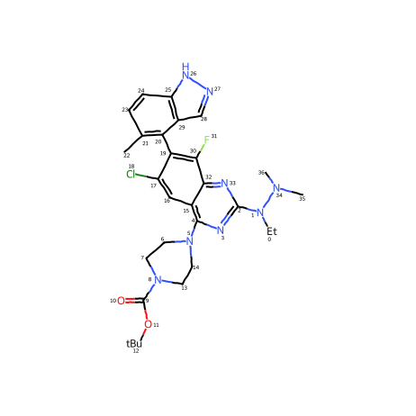 CCN(c1nc(N2CCN(C(=O)OC(C)(C)C)CC2)c2cc(Cl)c(-c3c(C)ccc4[nH]ncc34)c(F)c2n1)N(C)C